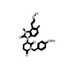 CCO/C=C/c1c(C)ccc2c1n(C)c(=O)n2C1CCC(=O)N(Cc2ccc(OC)cc2)C1=O